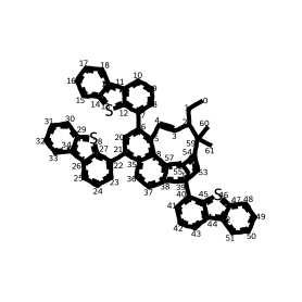 CCC1/C=C/c2c(-c3cccc4c3sc3ccccc34)cc(-c3cccc4c3sc3ccccc34)c3ccc4c(-c5cccc6c5sc5ccccc56)cc(c(C)c4c23)C1(C)C